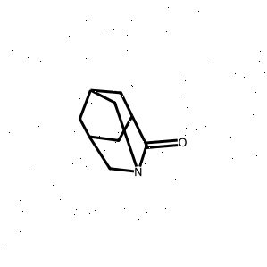 O=C1C2CC3CC(C2)CN1C3